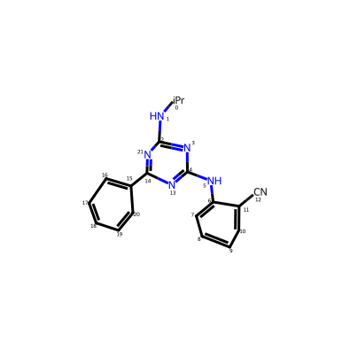 CC(C)Nc1nc(Nc2ccccc2C#N)nc(-c2ccccc2)n1